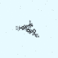 CN(C)c1ccc(C(C)(Sc2ccc(S(=O)(=O)C[C@H]3CCCC[C@@H]3C(=O)NCC#N)cc2)C(N)=O)cc1.O=C(O)C(F)(F)F